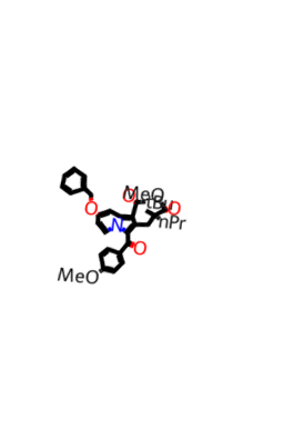 CCCC(C)(Cc1c(C(=O)C(C)(C)C)c2cc(OCc3ccccc3)ccn2c1C(=O)c1ccc(OC)cc1)C(=O)OC